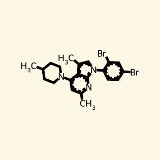 Cc1cc(N2CCC(C)CC2)c2c(C)cn(-c3ccc(Br)cc3Br)c2n1